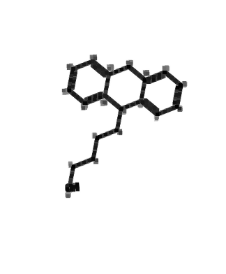 OCCCCC1c2ccccc2Cc2ccccc21